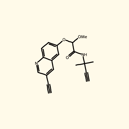 C#Cc1cnc2ccc(OC(OC)C(=O)NC(C)(C)C#C)cc2c1